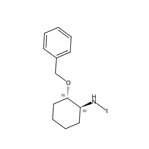 IN[C@H]1CCCC[C@@H]1OCc1ccccc1